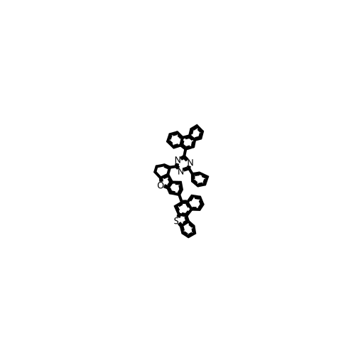 C1=C(c2nc(-c3ccccc3)nc(-c3cc4ccccc4c4ccccc34)n2)c2c(oc3cc(-c4cc5sc6ccccc6c5c5ccccc45)ccc23)CC1